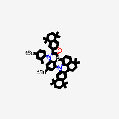 Cc1cc(C(C)(C)C)ccc1N1c2cc(C(C)(C)C)cc3c2B(c2ccc4c5c2N3c2cc3c(cc2C5(C)CCC4(C)C)C(C)(C)CCC3(C)C)c2oc3cc4c(cc3c21)C(C)(C)CCC4(C)C